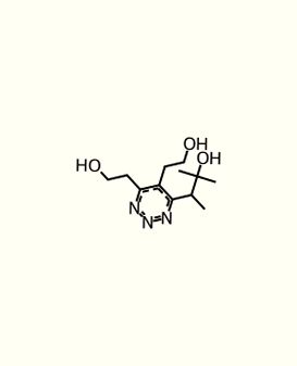 CC(c1nnnc(CCO)c1CCO)C(C)(C)O